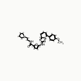 COc1ccc(-c2cccc3nc(Nc4ccc(C(=O)NCCN5CCCC5)o4)nn23)cc1